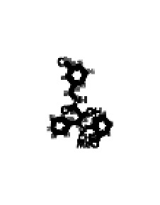 COc1ccccc1N(C=O)C(c1ccccc1)C(O)C(=O)NCc1cccc(Cl)c1